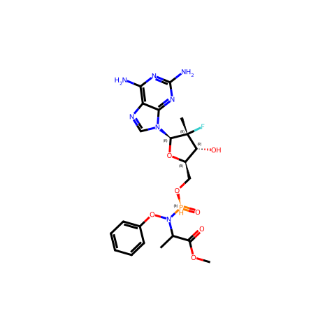 COC(=O)C(C)N(Oc1ccccc1)[P@H](=O)OC[C@H]1O[C@@H](n2cnc3c(N)nc(N)nc32)[C@](C)(F)[C@@H]1O